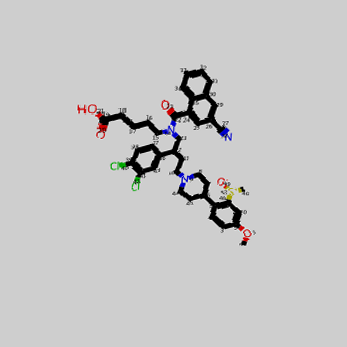 COc1ccc(C2CCN(CCC(CN(CCCCC(=O)O)C(=O)c3cc(C#N)cc4ccccc34)c3ccc(Cl)c(Cl)c3)CC2)c([S+](C)[O-])c1